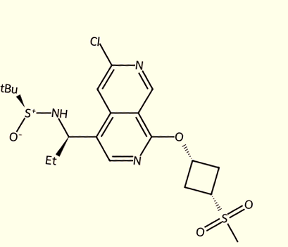 CC[C@@H](N[S@@+]([O-])C(C)(C)C)c1cnc(O[C@H]2C[C@@H](S(C)(=O)=O)C2)c2cnc(Cl)cc12